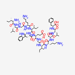 CC[C@H](C)[C@H](N)C(=O)N[C@@H](CC(C)C)C(=O)NCC(=O)N[C@@H](CCCCN)C(=O)N[C@H](C(=O)N[C@@H](Cc1c[nH]c2ccccc12)C(=O)N[C@@H](CCC(=O)O)C(=O)NCC(=O)N[C@H](C(=O)N[C@@H](CCCCN)C(=O)N[C@@H](CO)C(=O)N[C@@H](CC(C)C)C(=O)N[C@@H](Cc1ccccc1)C(=O)O)[C@@H](C)CC)[C@@H](C)CC